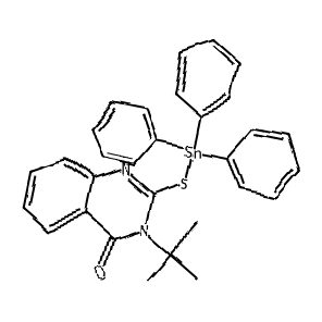 CC(C)(C)n1c([S][Sn]([c]2ccccc2)([c]2ccccc2)[c]2ccccc2)nc2ccccc2c1=O